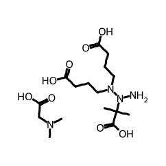 CC(C)(C(=O)O)N(N)N(CCCC(=O)O)CCCC(=O)O.CN(C)CC(=O)O